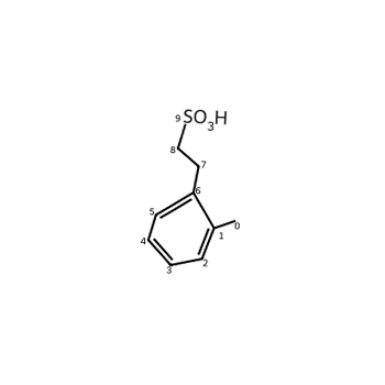 Cc1ccccc1CCS(=O)(=O)O